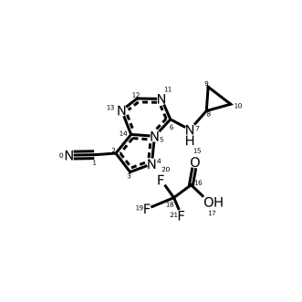 N#Cc1cnn2c(NC3CC3)ncnc12.O=C(O)C(F)(F)F